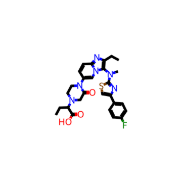 CCc1nc2ccc(N3CCN(C(CC)C(=O)O)CC3=O)cn2c1N(C)c1nc(-c2ccc(F)cc2)cs1